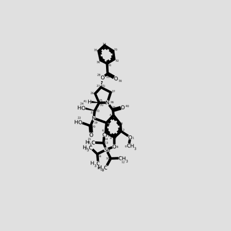 COc1cc2c(cc1O[Si](C(C)C)(C(C)C)C(C)C)N(C(=O)O)[C@@H](O)[C@@H]1C[C@H](OC(=O)c3ccccc3)CN1C2=O